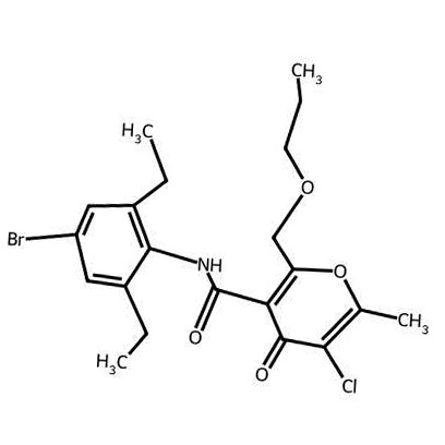 CCCOCc1oc(C)c(Cl)c(=O)c1C(=O)Nc1c(CC)cc(Br)cc1CC